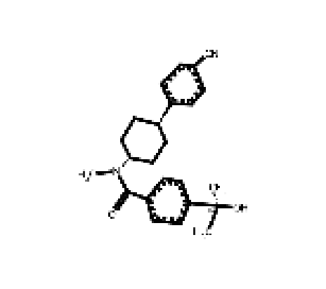 CN(C(=O)c1ccc([C@](C)(O)C(F)(F)F)cc1)[C@H]1CC[C@H](c2ccc(C#N)cc2)CC1